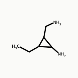 CCC1C(N)C1CN